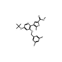 COC(=O)c1cc(-c2ncc(OC(C)(C)C)cc2OCc2cc(F)cc(F)c2)c(C)s1